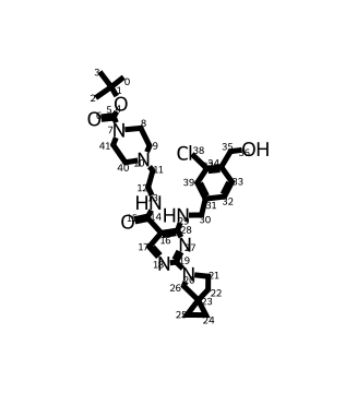 CC(C)(C)OC(=O)N1CCN(CCNC(=O)c2cnc(N3CCC4(CC4)C3)nc2NCc2ccc(CO)c(Cl)c2)CC1